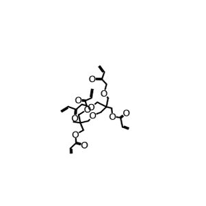 C=CC(=O)COCC(COCC(=O)C=C)(COCC(C)(COC(=O)C=C)COC(=O)C=C)COC(=O)C=C